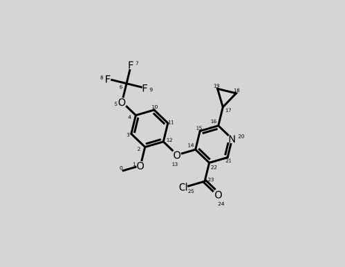 COc1cc(OC(F)(F)F)ccc1Oc1cc(C2CC2)ncc1C(=O)Cl